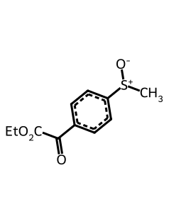 CCOC(=O)C(=O)c1ccc([S+](C)[O-])cc1